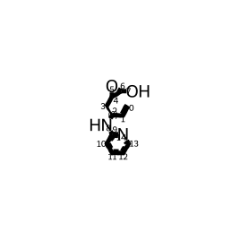 C=C[C@H](CC1OC1O)Nc1ccccn1